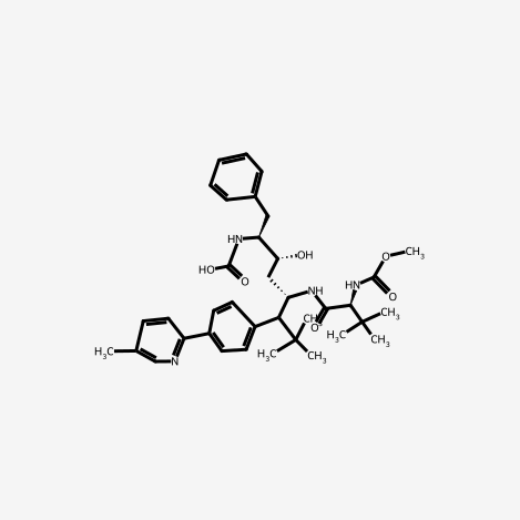 COC(=O)N[C@H](C(=O)N[C@@H](C[C@@H](O)[C@H](Cc1ccccc1)NC(=O)O)C(c1ccc(-c2ccc(C)cn2)cc1)C(C)(C)C)C(C)(C)C